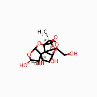 C[C@@H]1COC(CO)[C@H](O)C23C4C[C@@H](C(C)(C)C)C25C(O[C@H](O)[C@@H]5O)OC13C(=O)O4